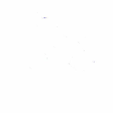 C[C@H](c1cccnc1N)N(C)c1nc(O[C@H]2COC[C@@H]2N(C)C)nc2c(F)c(-c3ccc(F)c4sc(N)c(C#N)c34)c(Cl)cc12